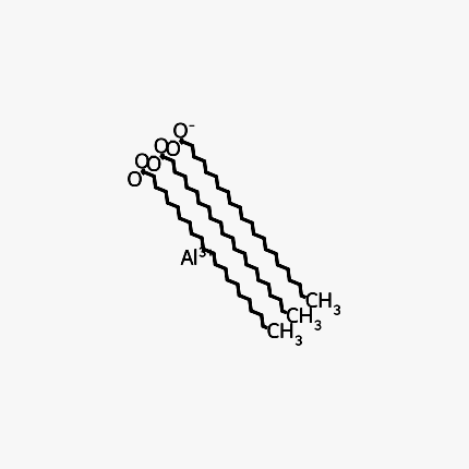 CCCCCCCCCCCCCCCCCCCCCC(=O)[O-].CCCCCCCCCCCCCCCCCCCCCC(=O)[O-].CCCCCCCCCCCCCCCCCCCCCC(=O)[O-].[Al+3]